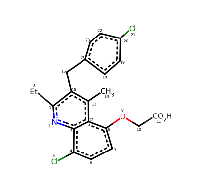 CCc1nc2c(Cl)ccc(OCC(=O)O)c2c(C)c1Cc1ccc(Cl)cc1